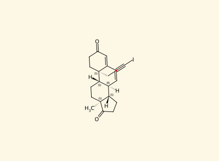 C[C@]12CC[C@H]3[C@@H](C=CC4=CC(=O)CC[C@@]43CC#CI)[C@@H]1CCC2=O